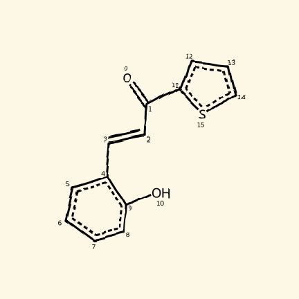 O=C(/C=C/c1ccccc1O)c1cccs1